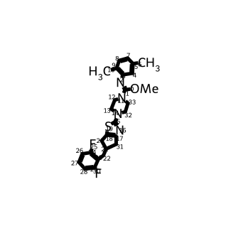 COC(=Nc1cc(C)ccc1C)N1CCN(c2nc3c(s2)CC(Cc2c(F)cccc2F)C3)CC1